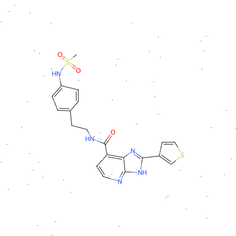 CS(=O)(=O)Nc1ccc(CCNC(=O)c2ccnc3[nH]c(-c4ccsc4)nc23)cc1